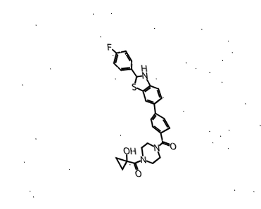 O=C(c1ccc(-c2ccc3c(c2)SC(c2ccc(F)cc2)N3)cc1)N1CCN(C(=O)C2(O)CC2)CC1